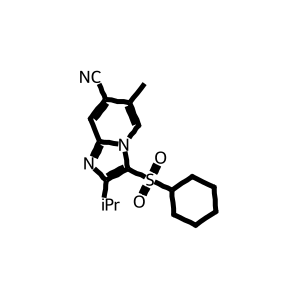 Cc1cn2c(S(=O)(=O)C3CCCCC3)c(C(C)C)nc2cc1C#N